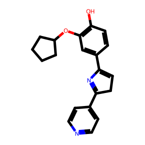 Oc1ccc(C2=CCC(c3ccncc3)=N2)cc1OC1CCCC1